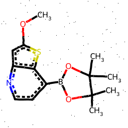 COc1cc2nccc(B3OC(C)(C)C(C)(C)O3)c2s1